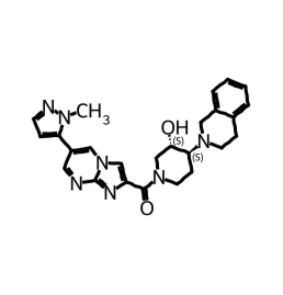 Cn1nccc1-c1cnc2nc(C(=O)N3CC[C@H](N4CCc5ccccc5C4)[C@@H](O)C3)cn2c1